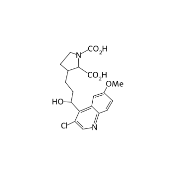 COc1ccc2ncc(Cl)c(C(O)CCC3CCN(C(=O)O)C3C(=O)O)c2c1